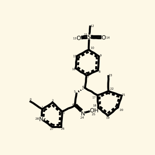 Cc1cc(/C(C[C@H](c2ccc(S(C)(=O)=O)cc2)c2ccccc2C)=N/O)ccn1